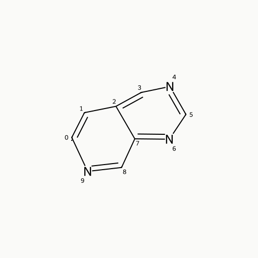 [c]1cc2cncnc2cn1